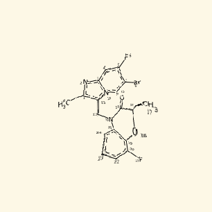 Cc1nc2cc(F)c(Br)cn2c1CN1C(=O)[C@@H](C)Oc2c(F)cccc21